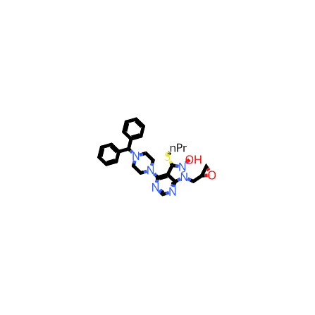 CCCSC1c2c(N3CCN(C(c4ccccc4)c4ccccc4)CC3)ncnc2N(CC2CO2)N1O